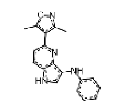 Cc1noc(C)c1-c1ccc2[nH]cc(Nc3ccccc3)c2n1